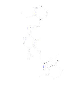 CC(C)Oc1ncccc1CNc1ncc(C#N)c(NCC2C[C@H]3CCC[C@@H](C2)[C@@H]3N)n1